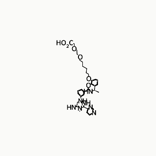 C[C@@H](NC(=O)c1cccc(NCC(=N)N(C)C(=N)c2ccncn2)c1)c1cccc(OCCCCCCOCCOCC(=O)O)c1